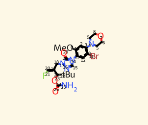 COc1cc(N2CCOCC2)c(Br)cc1-n1cnn(CC(=CF)C(OC(N)=O)C(C)(C)C)c1=O